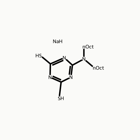 CCCCCCCCN(CCCCCCCC)c1nc(S)nc(S)n1.[NaH]